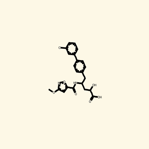 COc1cc(C(=O)NC(Cc2ccc(-c3cccc(Cl)c3)cc2)CC(O)C(=O)O)on1